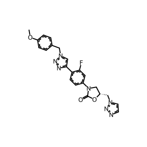 COc1ccc(Cn2cc(-c3ccc(N4C[C@H](Cn5ccnn5)OC4=O)cc3F)nn2)cc1